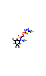 CCc1nnc(OCC(=O)N(C2=CC(C)=CC(C)(C)C2)C(C)C)s1